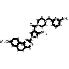 COc1ccc2c(c1)CCc1cnc(-n3cc(C(=O)N4CCN(Cc5cccc(N)n5)CC4)c(N)n3)nc1-2